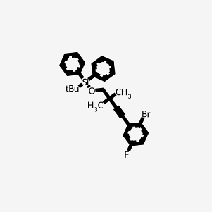 CC(C)(C#Cc1cc(F)ccc1Br)CO[Si](c1ccccc1)(c1ccccc1)C(C)(C)C